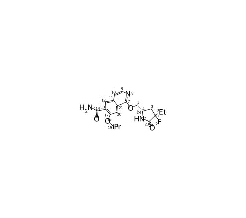 CC[C@@]1(F)C[C@@H](COc2nccc3cc(C(N)=O)c(OC(C)C)cc23)NC1=O